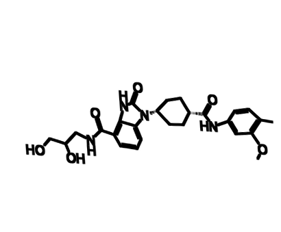 COc1cc(NC(=O)[C@H]2CC[C@@H](n3c(=O)[nH]c4c(C(=O)NCC(O)CO)cccc43)CC2)ccc1C